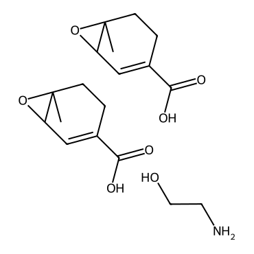 CC12CCC(C(=O)O)=CC1O2.CC12CCC(C(=O)O)=CC1O2.NCCO